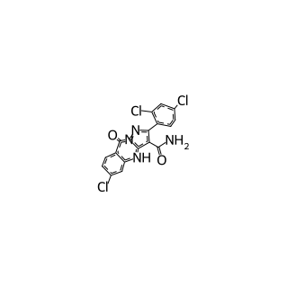 NC(=O)c1c(-c2ccc(Cl)cc2Cl)nn2c(=O)c3ccc(Cl)cc3[nH]c12